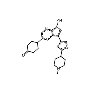 CN1CCC(c2nc(-c3cn(S)c4ncc(C5CCC(=O)CC5)cc34)cs2)CC1